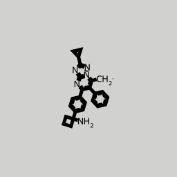 [CH2]c1c(-c2ccccc2)c(-c2ccc(C3(N)CCC3)cc2)nc2nc(C3CC3)nn12